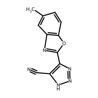 Cc1ccc2oc(-c3nn[nH]c3C#N)nc2c1